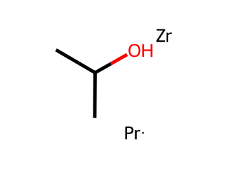 CC(C)O.[Pr].[Zr]